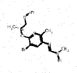 CCCOC[C@@H](C)Oc1nc(C)c(N=CN(C)CC)cc1Br